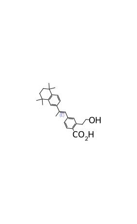 C/C(=C\c1ccc(C(=O)O)c(CCO)c1)c1ccc2c(c1)C(C)(C)CCC2(C)C